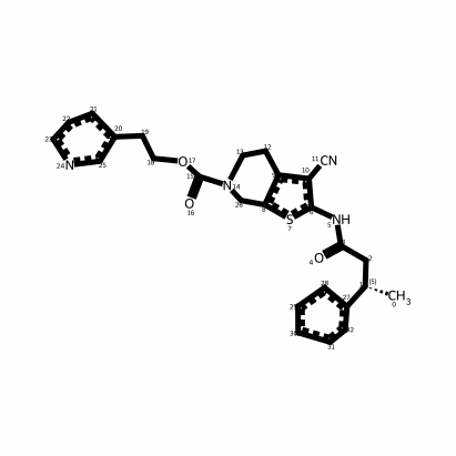 C[C@@H](CC(=O)Nc1sc2c(c1C#N)CCN(C(=O)OCCc1cccnc1)C2)c1ccccc1